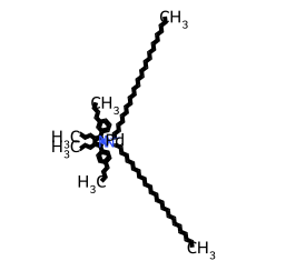 CCCCC1=C(c2ccc(CCCC)cc2)[N+](=[N-])C(c2cccc(CCCC)c2)=C1CCCC.CCCCCCCCCCCCCCCCCCCCCCCCCC[CH2][Pd][CH2]CCCCCCCCCCCCCCCCCCCCCCCCCC